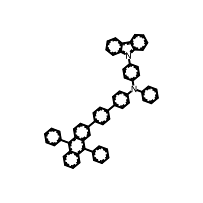 c1ccc(-c2c3ccccc3c(-c3ccccc3)c3cc(-c4ccc(-c5ccc(N(c6ccccc6)c6ccc(-n7c8ccccc8c8ccccc87)cc6)cc5)cc4)ccc23)cc1